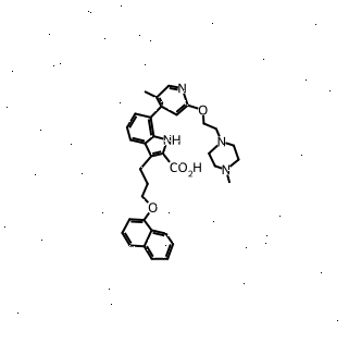 Cc1cnc(OCCN2CCN(C)CC2)cc1-c1cccc2c(CCCOc3cccc4ccccc34)c(C(=O)O)[nH]c12